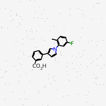 Cc1ccc(F)cc1-n1ccc(-c2cccc(C(=O)O)c2)c1